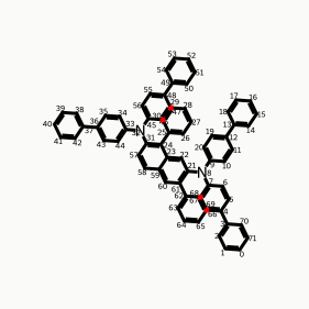 c1ccc(-c2ccc(N(c3ccc(-c4ccccc4)cc3)c3cc4c(-c5ccccc5)c(N(c5ccc(-c6ccccc6)cc5)c5ccc(-c6ccccc6)cc5)ccc4cc3-c3ccccc3)cc2)cc1